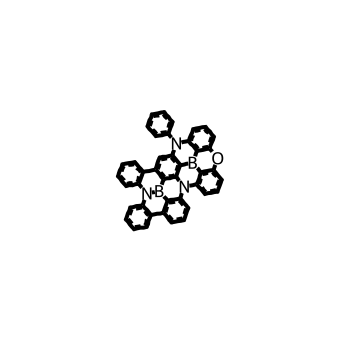 c1ccc(N2c3cccc4c3B3c5c(cccc5N5c6cccc7c6B6c8c(cc2c3c85)-c2ccccc2N6c2ccccc2-7)O4)cc1